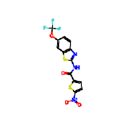 O=C(Nc1nc2ccc(OC(F)(F)F)cc2s1)c1ccc([N+](=O)[O-])s1